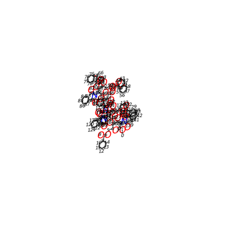 CO[C@H]1OC(COC(=O)c2ccccc2)[C@H](OC2OC(COC(=O)c3ccccc3)C(O[C@H]3OC(COC(=O)c4ccccc4)[C@H](OC4OC(COC(=O)c5ccccc5)C(O[Si](C)(C)C(C)(C)C)[C@H](OC(=O)c5ccccc5)[C@@H]4N4C(=O)c5ccccc5C4=O)C[C@H]3N3C(=O)c4ccccc4C3=O)[C@H](OC(=O)c3ccccc3)[C@@H]2N2C(=O)c3ccccc3C2=O)C(OC(=O)c2ccccc2)[C@H]1N1C(=O)c2ccccc2C1=O